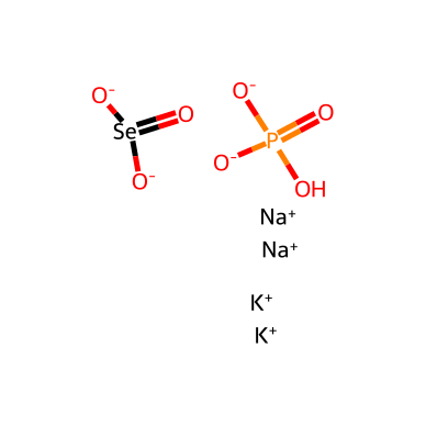 O=P([O-])([O-])O.O=[Se]([O-])[O-].[K+].[K+].[Na+].[Na+]